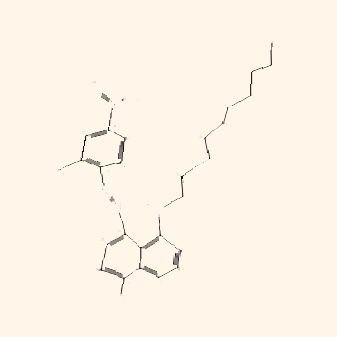 CCCCCCCCCCOc1cccc2c(O)ccc(N=Nc3ccc([N+](=O)[O-])cc3Cl)c12